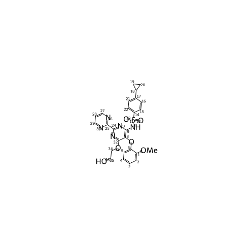 COc1ccccc1Oc1c(NS(=O)(=O)c2ccc(C3CC3)cc2)nc(-c2ncccn2)nc1OCCO